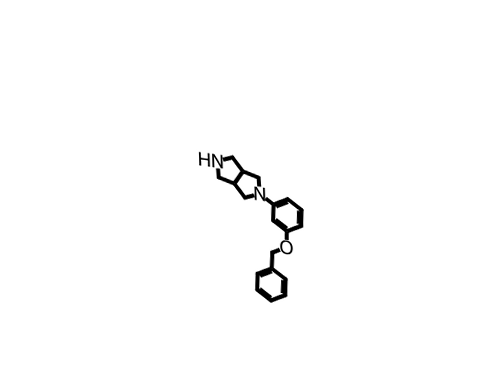 c1ccc(COc2cccc(N3CC4CNCC4C3)c2)cc1